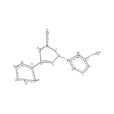 O=C1CC(c2cccc(Cl)c2)C=C(c2ccccc2)O1